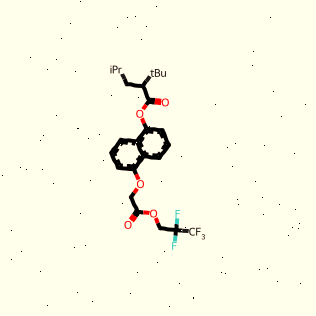 CC(C)CC(C(=O)Oc1cccc2c(OCC(=O)OCC(F)(F)C(F)(F)F)cccc12)C(C)(C)C